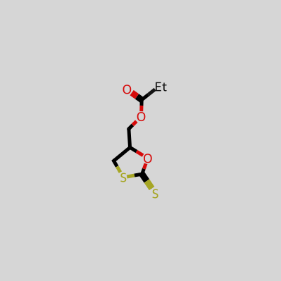 CCC(=O)OCC1CSC(=S)O1